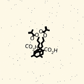 C=C(C)C(=O)OCCCCC1(CCCCOC(=O)C(=C)C)C2(C(=O)O)CC3(C)CC(C)(C2)CC1(C(=O)O)C3